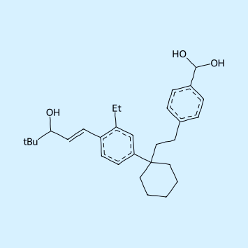 CCc1cc(C2(CCc3ccc(C(O)O)cc3)CCCCC2)ccc1C=CC(O)C(C)(C)C